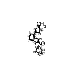 Cn1cc(-c2cccc3sc(C(=O)N4CCOCC4)cc23)cn1